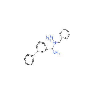 NC(c1cccc(-c2ccccc2)c1)N(N)Cc1ccccc1